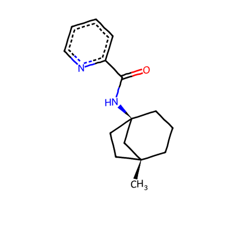 C[C@@]12CCC[C@@](NC(=O)c3ccccn3)(CC1)C2